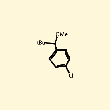 CO[C@@H](c1ccc(Cl)cc1)C(C)(C)C